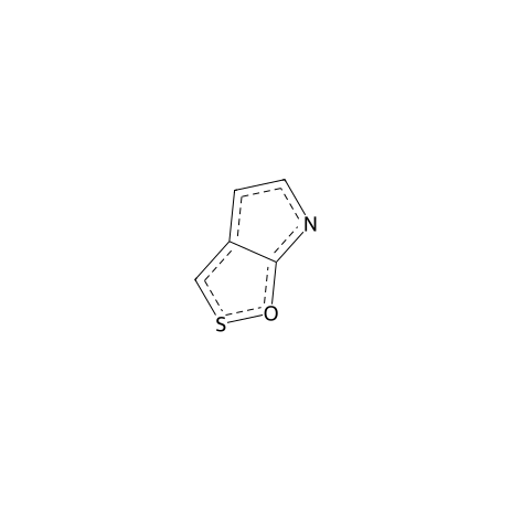 c1cc2csoc-2n1